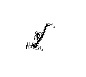 CCCCCCCCCCCCCCCC[N+](C)(C)C.COOC(=O)[O-]